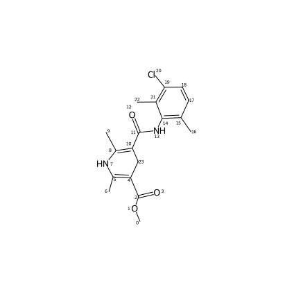 COC(=O)C1=C(C)NC(C)=C(C(=O)Nc2c(C)ccc(Cl)c2C)C1